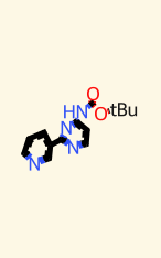 CC(C)(C)OC(=O)Nc1ccnc(-c2cccnc2)n1